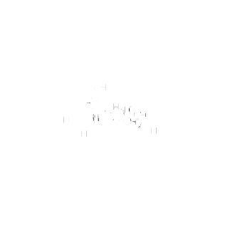 CCOC(=O)[C@]12CCC(C)(C)C[C@H]1C1C(=O)C[C@@H]3[C@@]4(C)CC[C@H](OC(C)=O)C(C)(C)[C@@H]4CC[C@@]3(C)[C@]1(C)CC2